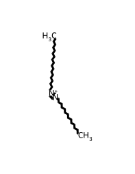 CCCCCCCCCCCCCCCCCCC[n+]1ccn(CCCCCCCCCCCCCCC)c1